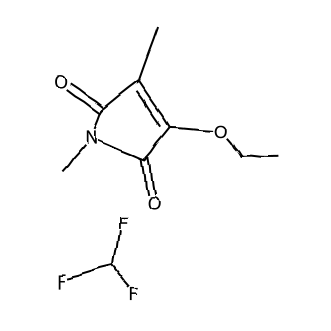 CCOC1=C(C)C(=O)N(C)C1=O.FC(F)F